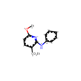 CCOC(=O)c1ccc(OCC)nc1Nc1ccccc1